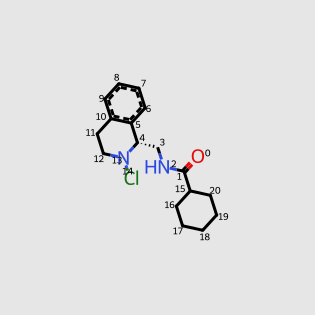 O=C(NC[C@H]1c2ccccc2CCN1Cl)C1CCCCC1